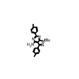 Cc1ccc(-c2nc(N)c3c(-c4ccc(C)cc4)nn(C(C)(C)C)c3n2)cc1